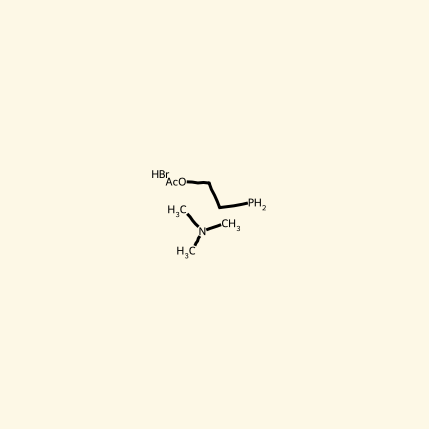 Br.CC(=O)OCCP.CN(C)C